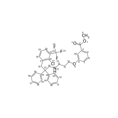 COC(=O)c1cccc(OCCCNCC(Cc2cccc(C(F)(F)F)c2Cl)(c2ccccc2)c2ccccc2)c1